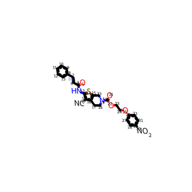 N#Cc1c(NC(=O)/C=C/c2ccccc2)sc2c1CCN(C(=O)OCCOc1ccc([N+](=O)[O-])cc1)C2